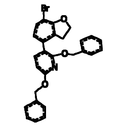 Brc1ccc(-c2ccc(OCc3ccccc3)nc2OCc2ccccc2)c2c1OCC2